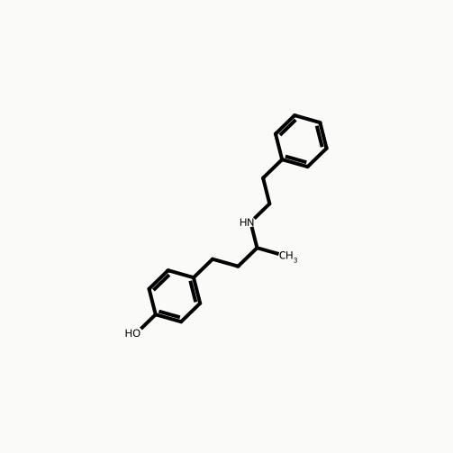 CC(CCc1ccc(O)cc1)NCCc1ccccc1